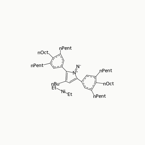 CCCCCCCCc1c(CCCCC)cc(C2=CC(CCCC)=C(c3cc(CCCCC)c(CCCCCCCC)c(CCCCC)c3)[N+]2=[N-])cc1CCCCC.C[CH2][Ni][CH2]C